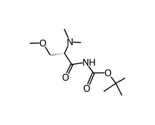 COC[C@@H](C(=O)NC(=O)OC(C)(C)C)N(C)C